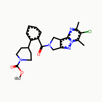 Cc1nc2c3c(nn2c(C)c1Cl)CN(C(=O)c1ccccc1C1CCN(C(=O)OC(C)(C)C)CC1)C3